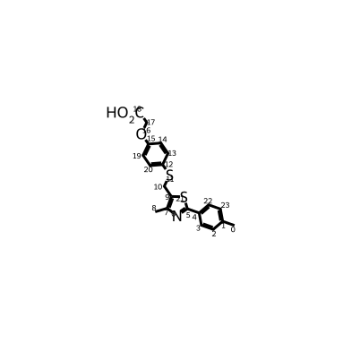 Cc1ccc(-c2nc(C)c(CSc3ccc(OCC(=O)O)cc3)s2)cc1